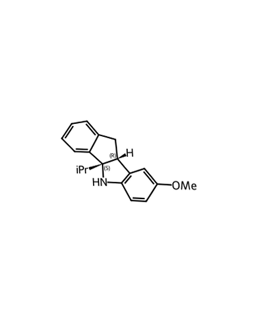 COc1ccc2c(c1)[C@H]1Cc3ccccc3[C@@]1(C(C)C)N2